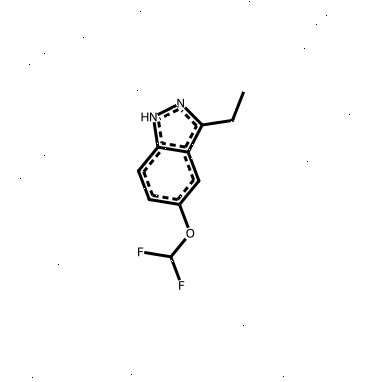 CCc1n[nH]c2ccc(OC(F)F)cc12